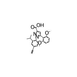 C#Cc1ccc(-n2nc(C(=O)O)cc2-c2c(OC)cccc2OC)c(C(C)C)c1